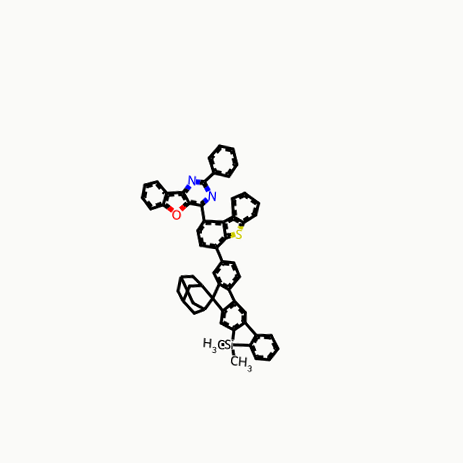 C[Si]1(C)c2ccccc2-c2cc3c(cc21)C1(c2cc(-c4ccc(-c5nc(-c6ccccc6)nc6c5oc5ccccc56)c5c4sc4ccccc45)ccc2-3)C2CC3CC(C2)CC1C3